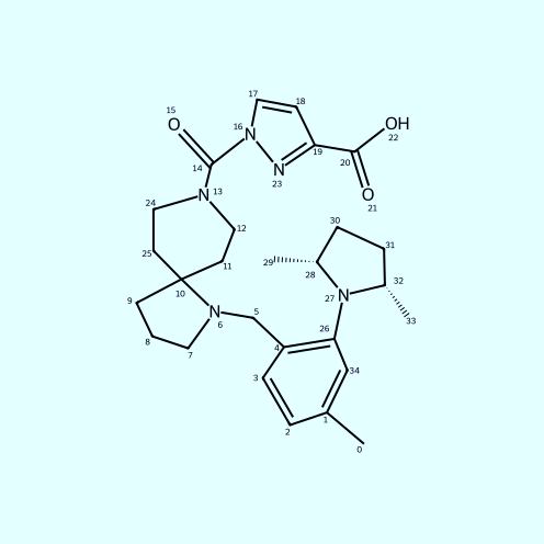 Cc1ccc(CN2CCCC23CCN(C(=O)n2ccc(C(=O)O)n2)CC3)c(N2[C@H](C)CC[C@@H]2C)c1